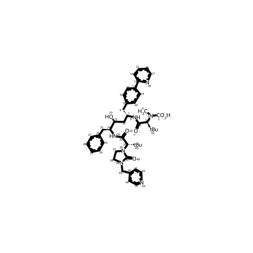 CN(C(=O)O)[C@H](C(=O)N[C@@H](Cc1ccc(-c2ccccn2)cc1)C[C@H](O)[C@H](Cc1ccccc1)NC(=O)[C@@H](N1CCN(Cc2ccncc2)C1=O)C(C)(C)C)C(C)(C)C